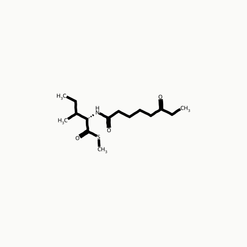 CCC(=O)CCCCC(=O)N[C@H](C(=O)SC)C(C)CC